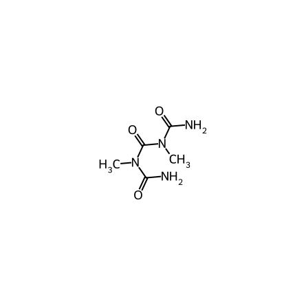 CN(C(N)=O)C(=O)N(C)C(N)=O